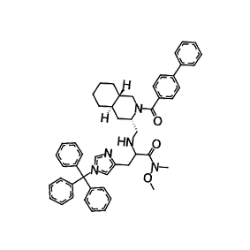 CON(C)C(=O)C(Cc1cn(C(c2ccccc2)(c2ccccc2)c2ccccc2)cn1)NC[C@@H]1C[C@H]2CCCC[C@@H]2CN1C(=O)c1ccc(-c2ccccc2)cc1